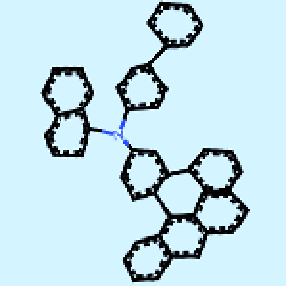 c1ccc(-c2ccc(N(c3ccc(-c4c5ccccc5cc5ccccc45)c(-c4ccccc4)c3)c3cccc4ccccc34)cc2)cc1